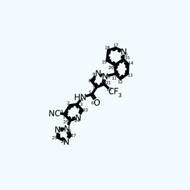 N#Cc1cc(NC(=O)c2cnn(-c3cccc4ncccc34)c2C(F)(F)F)cnc1-n1cncn1